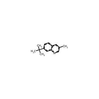 Cc1cnc2cc(C(C)(C)C)ccc2c1